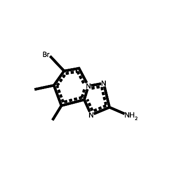 Cc1c(Br)cn2nc(N)nc2c1C